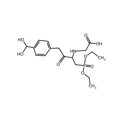 CCOP(=O)(CC(NCC(=O)O)C(=O)Cc1ccc(C(O)O)cc1)OCC